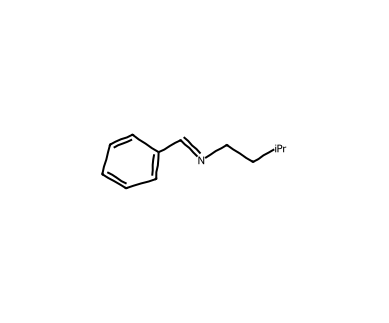 CC(C)CCN=Cc1ccccc1